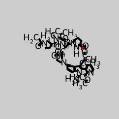 C=CC(=O)N1CC[C@H](C(=O)N(C)[C@H](C(=O)N[C@H]2C[C@@H]3CN(CCS3(=O)=O)c3ccc4c(c3)c(c(-c3cccnc3[C@H](C)OC)n4CC)CC(C)(C)COC(=O)[C@@H]3CCCN(N3)C2=O)C(C)C)C1